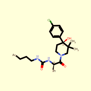 CC(=O)CCCNC(=O)N[C@@H](C(=O)N1CC[C@](O)(c2ccc(Cl)cc2)C(C)(C)C1)C(C)C